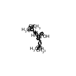 COc1cc(-n2cnc(Nc3nc(N4CCC[C@H]4CO)nn4c(CN5CCN(C(=O)OC(C)(C)C)CC5)ccc34)c2)cc(OC)c1OC